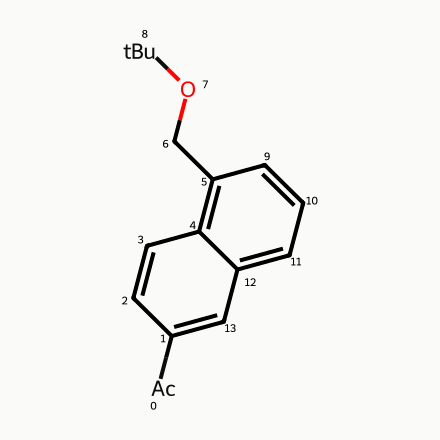 CC(=O)c1ccc2c(COC(C)(C)C)cccc2c1